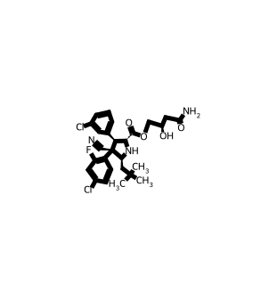 CC(C)(C)C[C@@H]1N[C@@H](C(=O)OC[C@H](O)CC(N)=O)[C@H](c2cccc(Cl)c2)[C@@]1(C#N)c1ccc(Cl)cc1F